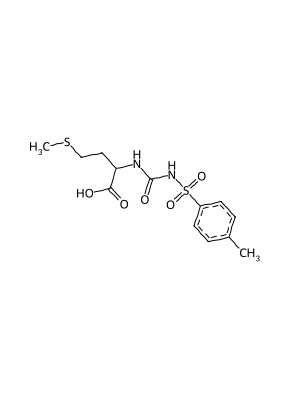 CSCCC(NC(=O)NS(=O)(=O)c1ccc(C)cc1)C(=O)O